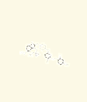 N#CCC1(Cn2c(CN3CCC(Oc4ccc(F)c(OCc5ccc(C#N)cc5F)n4)CC3)nc3ccc(C(=O)O)nc32)CC1